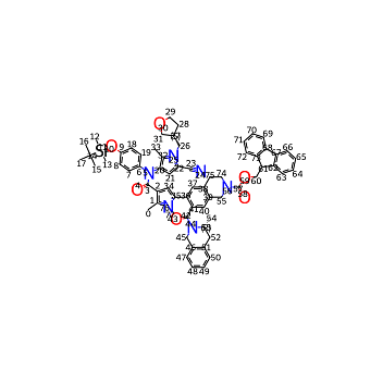 Cc1c(C(=O)N(c2ccc(O[Si](C)(C)C(C)(C)C)cc2)c2cc(C#N)n(C[C@@H]3CCOC3)c2C)cc(-c2cc3c(cc2C(=O)N2Cc4ccccc4C[C@H]2C)CN(C(=O)OCC2c4ccccc4-c4ccccc42)CC3)n1C